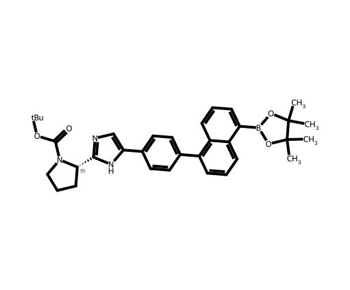 CC(C)(C)OC(=O)N1CCC[C@H]1c1ncc(-c2ccc(-c3cccc4c(B5OC(C)(C)C(C)(C)O5)cccc34)cc2)[nH]1